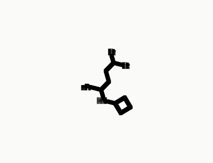 CCCC(CCC(CC)CC)NC1CCC1